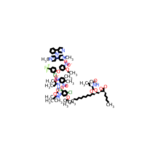 CC(C)Oc1cc(-n2nc(C(C)(C)C)oc2=O)c(Cl)cc1Cl.CCC(CC)Nc1c([N+](=O)[O-])cc(C)c(C)c1[N+](=O)[O-].CCCCCCCCCCC[C@@H](C[C@@H]1OC(=O)[C@H]1CCCCCC)OC(=O)[C@H](CC(C)C)NC=O.CCOc1cc(Oc2ccc(C(F)(F)F)cc2Cl)ccc1[N+](=O)[O-].C[n+]1ccc(-c2cc[n+](C)cc2)cc1.c1ccc2c(c1)[nH]c1cnccc12